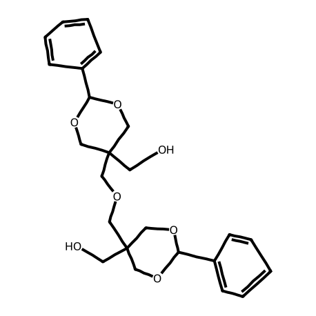 OCC1(COCC2(CO)COC(c3ccccc3)OC2)COC(c2ccccc2)OC1